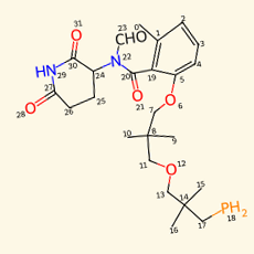 Cc1cccc(OCC(C)(C)COCC(C)(C)CP)c1C(=O)N(C=O)C1CCC(=O)NC1=O